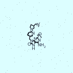 CN(C)CC1CCN(c2ccc(Cn3c(=O)[nH]c4c(N)nc(P(C)(C)=O)nc43)cn2)C1